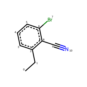 CCc1cccc(Br)c1C#N